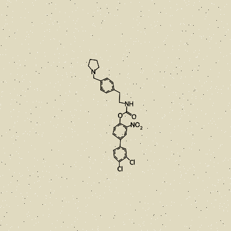 O=C(NCCc1ccc(CN2CCCC2)cc1)Oc1ccc(-c2ccc(Cl)c(Cl)c2)cc1[N+](=O)[O-]